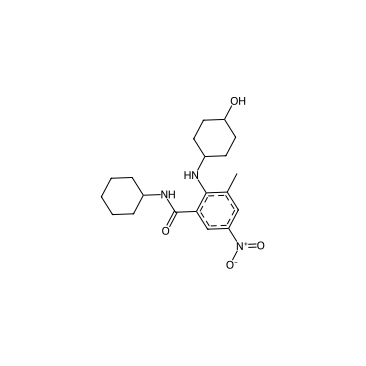 Cc1cc([N+](=O)[O-])cc(C(=O)NC2CCCCC2)c1NC1CCC(O)CC1